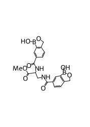 COC(=O)C(CNC(=O)c1ccc2c(c1)B(O)OC2)NC(=O)c1ccc2c(c1)B(O)OC2